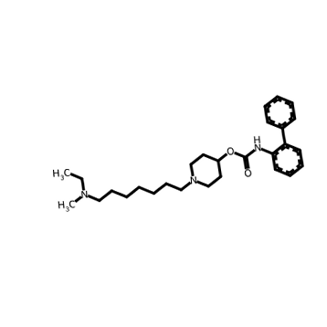 CCN(C)CCCCCCCN1CCC(OC(=O)Nc2ccccc2-c2ccccc2)CC1